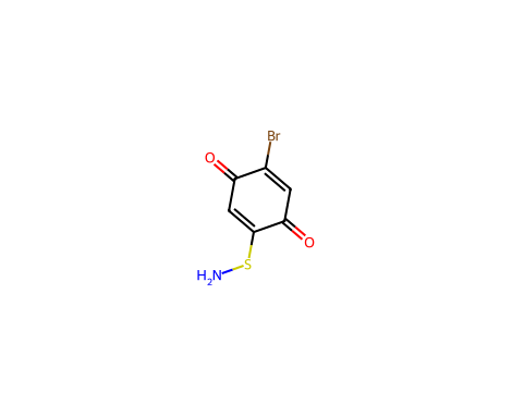 NSC1=CC(=O)C(Br)=CC1=O